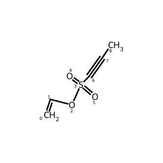 C=COS(=O)(=O)C#CC